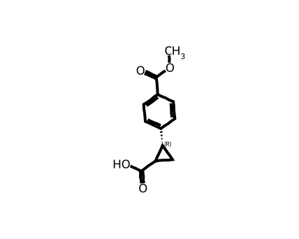 COC(=O)c1ccc([C@@H]2CC2C(=O)O)cc1